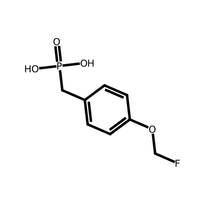 O=P(O)(O)Cc1ccc(OCF)cc1